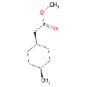 COC(=O)C[C@H]1CC[C@@H](C)CC1